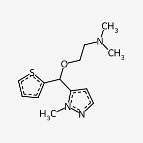 CN(C)CCOC(c1cccs1)c1ccnn1C